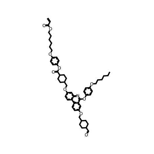 C=CC(=O)OCCCCCCOc1ccc(OC(=O)C2CCC(COc3ccc4c(c3)nc(Oc3ccc(OCCCCCC)cc3)c3cc(OCC5CCC(C=O)CC5)ccc34)CC2)cc1